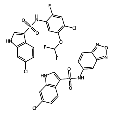 O=S(=O)(Nc1cc(OC(F)F)c(Cl)cc1F)c1c[nH]c2cc(Cl)ccc12.O=S(=O)(Nc1ccc2nonc2c1)c1c[nH]c2cc(Cl)ccc12